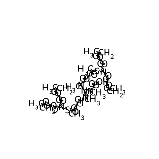 C=C(C)C(=O)OCCOC(=O)CCN(CCSCC(C)C(=O)OCCOC(=O)CCN(C)CCN(CCN(C)CCC(=O)OCO)CCN(C)CCC(=O)OCCOC(=O)C(C)CSCCN(CCC(=O)OCCOC(=O)C(=C)C)CCC(=O)OCCOC(=O)C(=C)C)CCC(=O)OCCOC(=O)C(=C)C